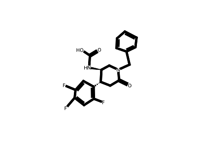 O=C(O)N[C@H]1CN(Cc2ccccc2)C(=O)C[C@@H]1c1cc(F)c(F)cc1F